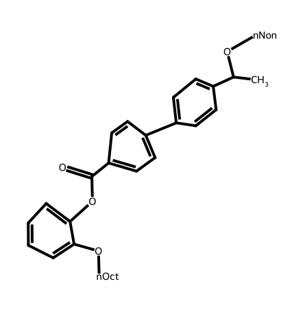 CCCCCCCCCOC(C)c1ccc(-c2ccc(C(=O)Oc3ccccc3OCCCCCCCC)cc2)cc1